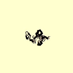 O=S(=O)(c1cccs1)N(CCF)c1cccc2cc(C3=NCC(CN4CCOCC4)S3)[nH]c12